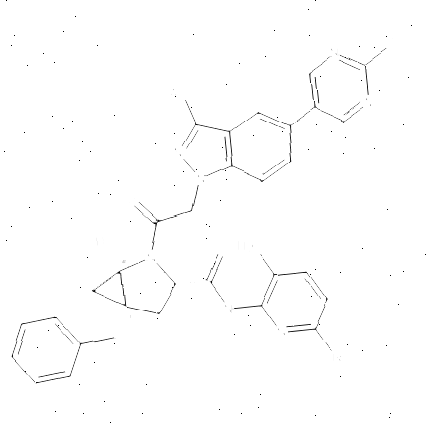 CC(=O)c1nn(CC(=O)N2[C@H](C(=O)Nc3nc(Br)ccc3C)C[C@@]3(Cc4ccccc4)C[C@@H]23)c2ccc(-c3cnc(C)nc3)cc12